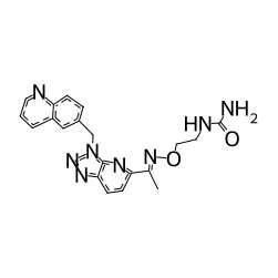 CC(=NOCCNC(N)=O)c1ccc2nnn(Cc3ccc4ncccc4c3)c2n1